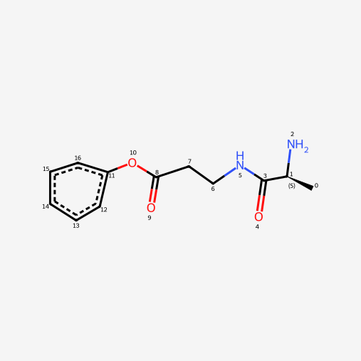 C[C@H](N)C(=O)NCCC(=O)Oc1ccccc1